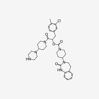 Cc1ccc(CC(OC(=O)N2CCC(N3CCc4ccccc4NC3=O)CC2)C(=O)N2CCC(N3CCNCC3)CC2)cc1Cl